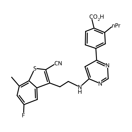 CCCc1cc(-c2cc(NCCc3c(C#N)sc4c(C)cc(F)cc34)ncn2)ccc1C(=O)O